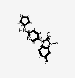 Cc1ccc2c(c1)n(C)c(=O)n2-c1ccc(NC2CCCC2)nc1